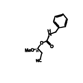 CO[C@@H](CC#N)OC(=O)NCc1ccccc1